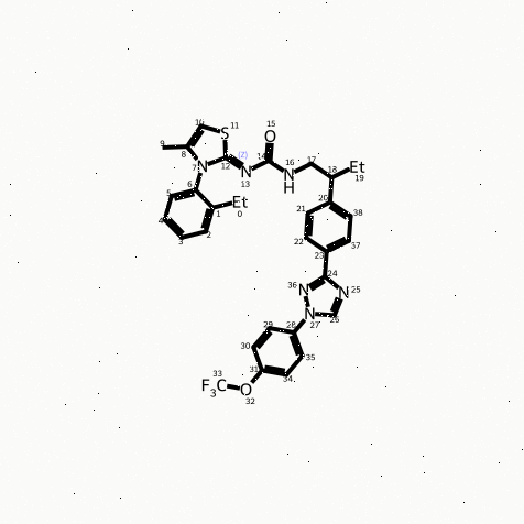 CCc1ccccc1-n1c(C)cs/c1=N\C(=O)NCC(CC)c1ccc(-c2ncn(-c3ccc(OC(F)(F)F)cc3)n2)cc1